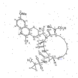 CCC(C)N(C(=O)O)[C@H]1CCCCC/C=C\[C@@H]2C[C@@]2(C(=O)NS(=O)(=O)C2(C)CC2)NC(=O)[C@@H]2C[C@]3(CCc4c(c(C(F)(F)F)nc5ccc(OC)cc45)O3)C(C)N2C1=O